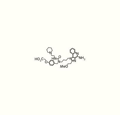 COCCc1nc2c(N)nc3ccccc3c2n1CCCCN(Cc1ccc(OCC(=O)O)cc1)C(=O)NCCN1CCCCC1